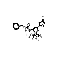 CC(C)(C)n1nc([C@@H]2CC(=O)CO2)cc1NC(=O)OCc1ccccc1